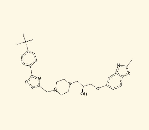 Cc1nc2cc(OC[C@@H](O)CN3CCN(Cc4noc(-c5ccc(C(C)(C)C)cc5)n4)CC3)ccc2s1